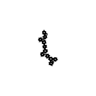 c1ccc2c(c1)oc1ccc(-n3c4ccccc4c4cc(-c5ccc(-c6ccc7c(c6)c6ccccc6n7-c6ccc(-c7cc8c9ccccc9n9c%10ccccc%10c(c7)c89)cc6)cc5)ccc43)cc12